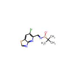 CC(C)(C)[S+]([O-])N=Cc1nc2ncsc2cc1Br